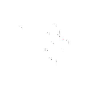 Cc1cc(Nc2nc(N[C@@H]3C[C@H]4CC[C@@H](C3)N4CCC#N)nc3cc(-c4cccnc4)ccc23)n[nH]1